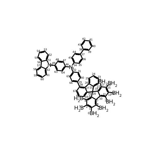 Bc1c(B)c(B)c2c(c1B)-c1c(B)c(B)c(B)c(B)c1C21c2ccccc2-c2c(-c3ccc(N(c4ccc(-c5ccccc5)cc4)c4ccc(-n5c6ccccc6c6ccccc65)cc4)cc3)cccc21